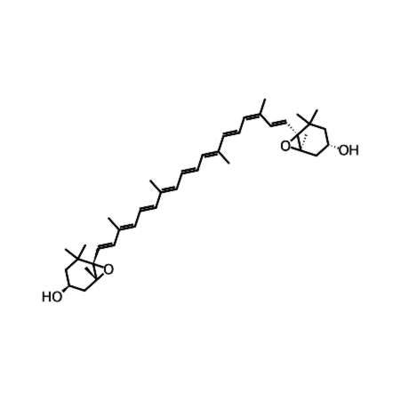 CC(=C/C=C/C(C)=C/C=C/C=C(C)/C=C/C=C(C)/C=C/[C@@]12O[C@]1(C)C[C@@H](O)CC2(C)C)/C=C/[C@@]12O[C@]1(C)C[C@@H](O)CC2(C)C